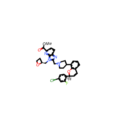 [2H][C@]1(c2ccc(Cl)cc2F)C=Cc2cccc(C3CCN(Cc4nc5ccc(C(=O)OC)nc5n4C[C@@H]4CCO4)CC3)c2O1